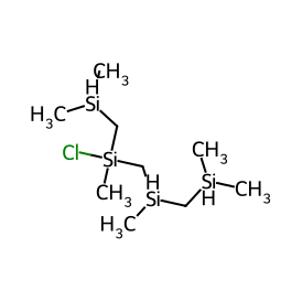 C[SiH](C)C[SiH](C)C[Si](C)(Cl)C[SiH](C)C